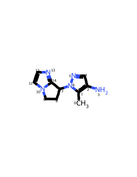 Cc1c(N)cnn1C1CCn2ccnc21